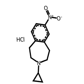 Cl.O=[N+]([O-])c1ccc2c(c1)CCN(C1CC1)CC2